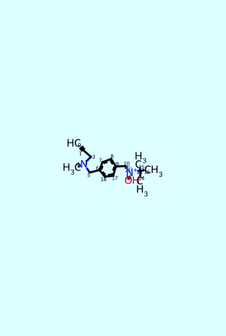 C#CCN(C)Cc1ccc(/C=[N+](\O)C(C)(C)C)cc1